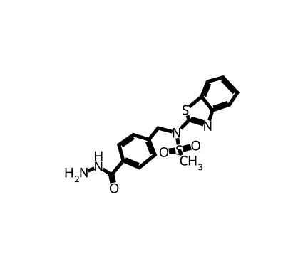 CS(=O)(=O)N(Cc1ccc(C(=O)NN)cc1)c1nc2ccccc2s1